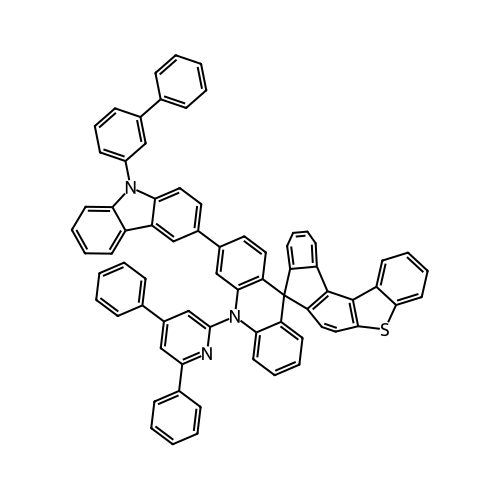 c1ccc(-c2cccc(-n3c4ccccc4c4cc(-c5ccc6c(c5)N(c5cc(-c7ccccc7)cc(-c7ccccc7)n5)c5ccccc5C65c6ccccc6-c6c5ccc5sc7ccccc7c65)ccc43)c2)cc1